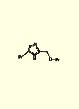 CC(C)OCc1ncc(C(C)C)[nH]1